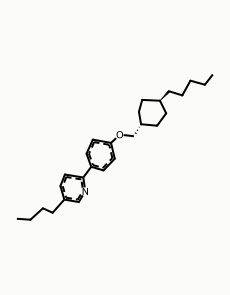 CCCCC[C@H]1CC[C@H](COc2ccc(-c3ccc(CCCC)cn3)cc2)CC1